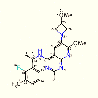 COc1nc2nc(C)nc(N[C@H](C)c3cccc(C(F)(F)F)c3F)c2cc1N1CC(OC)C1